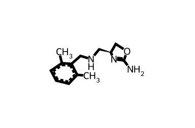 Cc1cccc(C)c1CNC[C@H]1COC(N)=N1